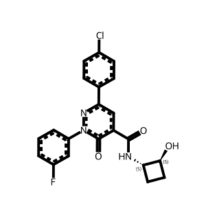 O=C(N[C@H]1CC[C@@H]1O)c1cc(-c2ccc(Cl)cc2)nn(-c2cccc(F)c2)c1=O